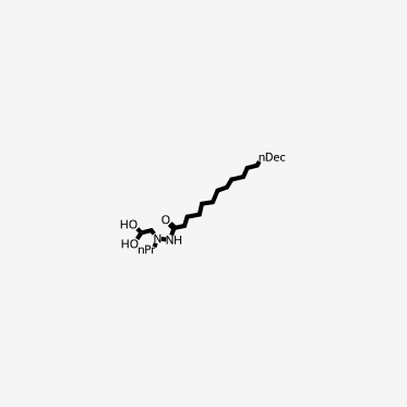 CCCCCCCCCCCCCCCCCCCCCC(=O)NN(CCC)CC(O)O